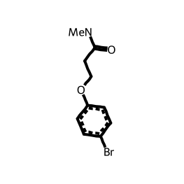 CNC(=O)CCOc1ccc(Br)cc1